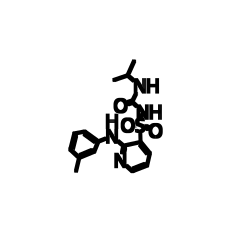 Cc1cccc(Nc2ncccc2S(=O)(=O)NC(=O)NC(C)C)c1